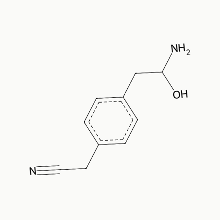 N#CCc1ccc(CC(N)O)cc1